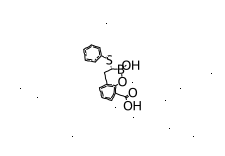 O=C(O)c1cccc2c1OB(O)[C@@H](Sc1ccccc1)C2